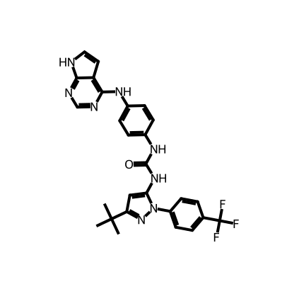 CC(C)(C)c1cc(NC(=O)Nc2ccc(Nc3ncnc4[nH]ccc34)cc2)n(-c2ccc(C(F)(F)F)cc2)n1